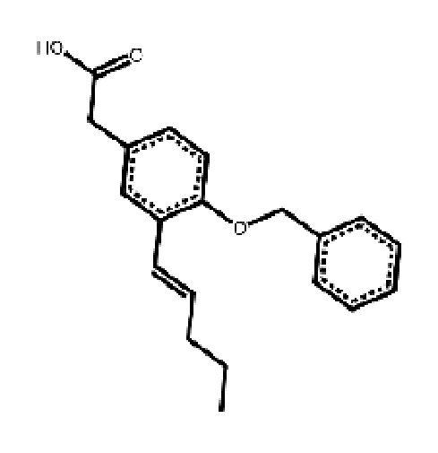 CCC/C=C/c1cc(CC(=O)O)ccc1OCc1ccccc1